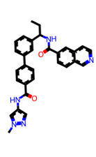 CCC(NC(=O)c1ccc2cnccc2c1)c1cccc(-c2ccc(C(=O)Nc3cnn(C)c3)cc2)c1